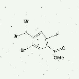 COC(=O)c1cc(Br)c(C(Br)Br)cc1F